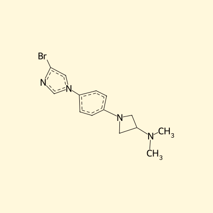 CN(C)C1CN(c2ccc(-n3cnc(Br)c3)cc2)C1